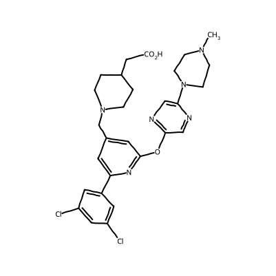 CN1CCN(c2cnc(Oc3cc(CN4CCC(CC(=O)O)CC4)cc(-c4cc(Cl)cc(Cl)c4)n3)cn2)CC1